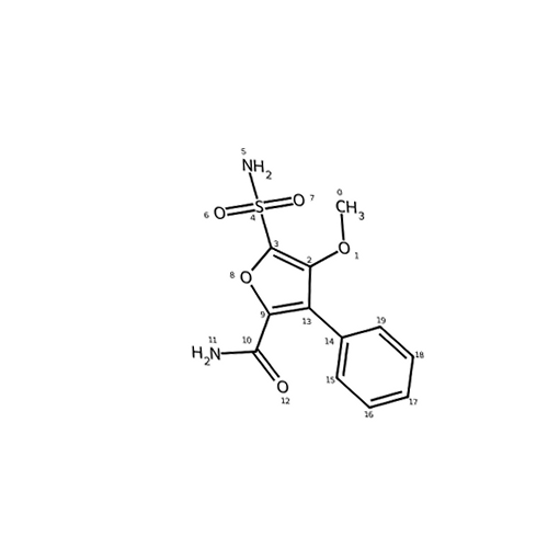 COc1c(S(N)(=O)=O)oc(C(N)=O)c1-c1ccccc1